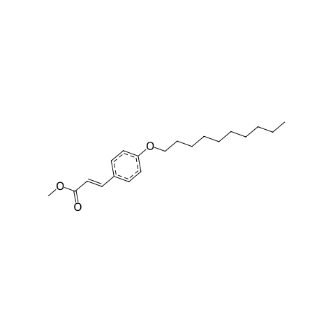 CCCCCCCCCCOc1ccc(C=CC(=O)OC)cc1